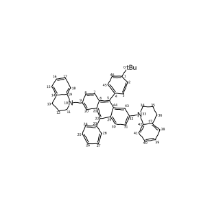 CC(C)(C)c1ccc(-c2c3ccc(N4CCCc5ccccc54)cc3c(-c3ccccc3)c3ccc(N4CCCc5ccccc54)cc23)cc1